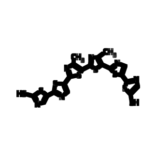 Cc1nc(-c2cnc(-c3cnc(S)s3)s2)sc1-c1nc(C)c(-c2ncc(-c3ncc(S)s3)s2)s1